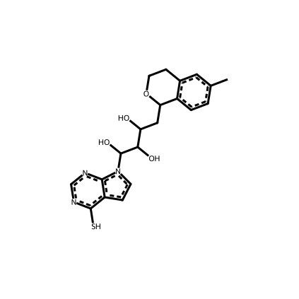 Cc1ccc2c(c1)CCOC2CC(O)C(O)C(O)n1ccc2c(S)ncnc21